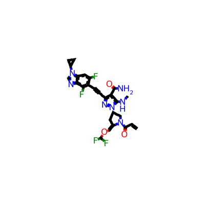 C=CC(=O)N1C[C@@H](n2nc(C#Cc3c(F)cc4c(ncn4C4CC4)c3F)c(C(N)=O)c2NC)C/C1=C\OC(F)F